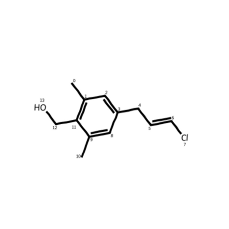 Cc1cc(CC=CCl)cc(C)c1CO